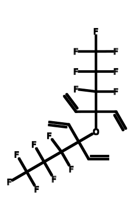 C=CC(C=C)(OC(C=C)(C=C)C(F)(F)C(F)(F)C(F)(F)F)C(F)(F)C(F)(F)C(F)(F)F